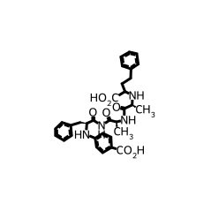 C[C@H](NC(=O)[C@H](C)NC(CCc1ccccc1)C(=O)O)C(=O)NC(=O)[C@H](Cc1ccccc1)Nc1ccc(C(=O)O)cc1